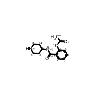 CC(=O)Oc1ccccc1C(=O)NC1CCNCC1